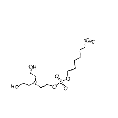 CCCCCCCCCCCCCCCCOS(=O)(=O)OCCN(CCO)CCO